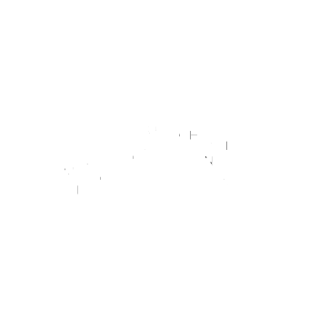 COC(=O)c1ccccc1OC(=O)CC(O)CN(C)C